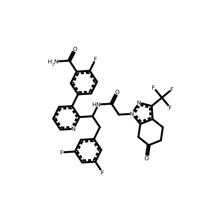 NC(=O)c1cc(-c2cccnc2C(Cc2cc(F)cc(F)c2)NC(=O)Cn2nc(C(F)(F)F)c3c2CC(=O)CC3)ccc1F